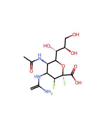 C=C(N)NC1[C@@H](NC(C)=O)C([C@H](O)[C@H](O)CO)O[C@@](F)(C(=O)O)[C@H]1F